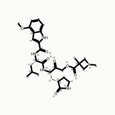 COc1cccc2[nH]c(C(=O)N[C@@H](CC(C)C)C(=O)N[C@@H](C[C@@H]3CCNC3=O)C(=O)COC(=O)C3(C)CN(C)C3)cc12